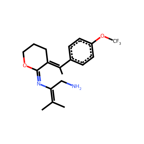 CC(C)=C(CN)/N=C1/OCCC/C1=C(/C)c1ccc(OC(F)(F)F)cc1